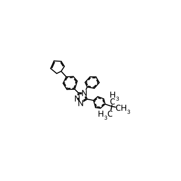 CC(C)(C)c1ccc(-c2nnc(-c3ccc(C4C=CC=CC4)cc3)n2-c2ccccc2)cc1